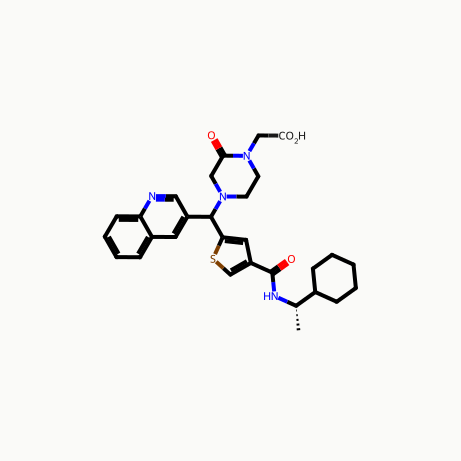 C[C@H](NC(=O)c1csc(C(c2cnc3ccccc3c2)N2CCN(CC(=O)O)C(=O)C2)c1)C1CCCCC1